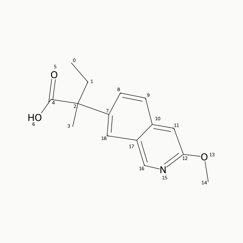 CCC(C)(C(=O)O)c1ccc2cc(OC)ncc2c1